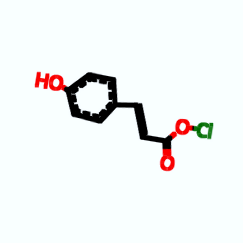 O=C(/C=C/c1ccc(O)cc1)OCl